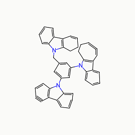 C1=CCCc2c(c3ccccc3n2-c2cc(Cn3c4c(c5ccccc53)C=CCC4)cc(-n3c4ccc#cc4c4ccccc43)c2)C=1